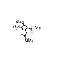 COC(=O)Cc1cc([N+](=O)[O-])c(OC)cc1C(=O)OC